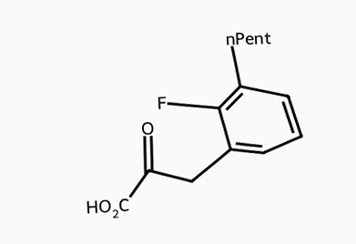 CCCCCc1cccc(CC(=O)C(=O)O)c1F